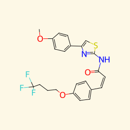 COc1ccc(-c2csc(NC(=O)/C=C\c3ccc(OCCCC(F)(F)F)cc3)n2)cc1